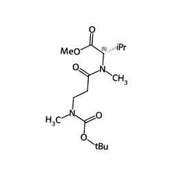 COC(=O)[C@H](C(C)C)N(C)C(=O)CCN(C)C(=O)OC(C)(C)C